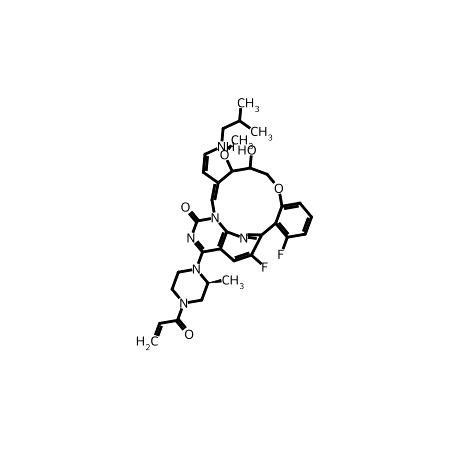 C=CC(=O)N1CCN(c2nc(=O)n3c4nc(c(F)cc24)-c2c(F)cccc2OCC(O)C(OC)C(/C=C\NCC(C)C)=C\3)[C@@H](C)C1